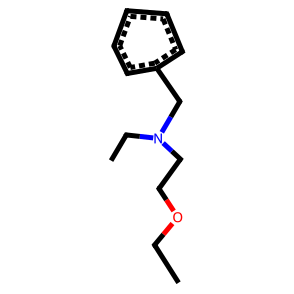 CCOCCN(CC)Cc1ccccc1